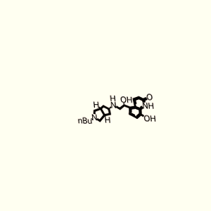 CCCCN1C[C@H]2C[C@H](NC[C@H](O)c3ccc(O)c4[nH]c(=O)ccc34)C[C@H]2C1